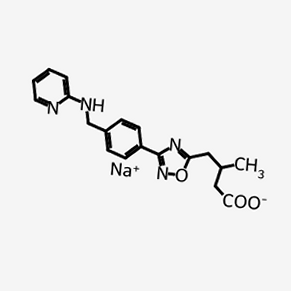 CC(CC(=O)[O-])Cc1nc(-c2ccc(CNc3ccccn3)cc2)no1.[Na+]